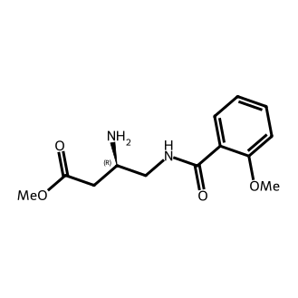 COC(=O)C[C@@H](N)CNC(=O)c1ccccc1OC